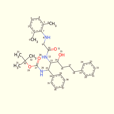 Cc1cccc(C)c1NCC(=O)NC(C(O)CCCc1ccccc1)C(NC(=O)OC(C)(C)C)c1ccccc1